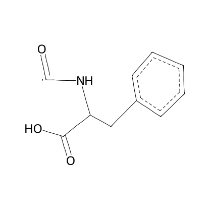 O=[C]NC(Cc1ccccc1)C(=O)O